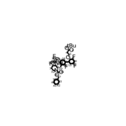 CC(C)(C)OC(=O)CCOc1c(F)cc(F)cc1-c1cccc(C[C@H]2[C@@H](NS(=O)(=O)CF)[C@@H](F)CCN2C(=O)OCc2ccccc2)c1F